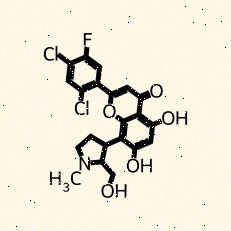 CN1CCC(c2c(O)cc(O)c3c(=O)cc(-c4cc(F)c(Cl)cc4Cl)oc23)C1CO